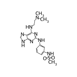 CN(C)CCNc1nc(Nc2cccc(NS(C)(=O)=O)c2)nc2[nH]cnc12